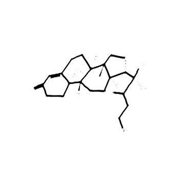 CC(C)CCC(O)[C@](C)(O)[C@H]1CC[C@H]2[C@@H]3CCC4=CC(=O)CC[C@]4(C)[C@H]3CC[C@@]21C